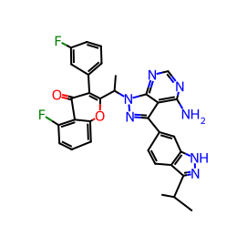 CC(C)c1n[nH]c2cc(-c3nn(C(C)c4oc5cccc(F)c5c(=O)c4-c4cccc(F)c4)c4ncnc(N)c34)ccc12